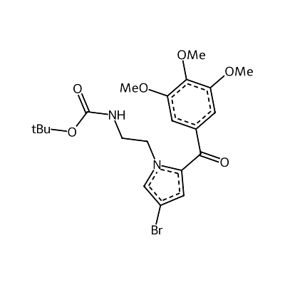 COc1cc(C(=O)c2cc(Br)cn2CCNC(=O)OC(C)(C)C)cc(OC)c1OC